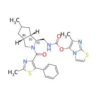 Cc1nc(C(=O)N2C[C@@H]3CC(C)C[C@@H]3[C@H]2CNC(=O)Oc2c(C)nc3sccn23)c(-c2ccccc2)s1